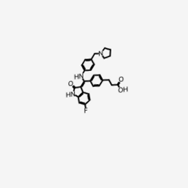 O=C(O)CCc1ccc(/C(Nc2ccc(CN3CCCC3)cc2)=C2/C(=O)Nc3cc(F)ccc32)cc1